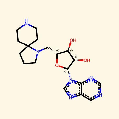 O[C@@H]1[C@H](O)[C@@H](CN2CCCC23CCNCC3)O[C@H]1n1cnc2cncnc21